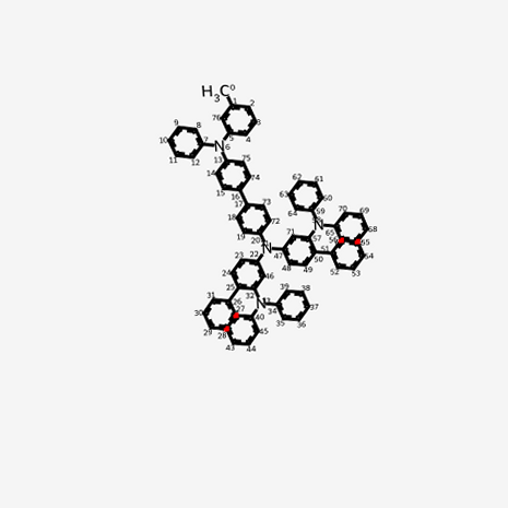 Cc1cccc(N(c2ccccc2)c2ccc(-c3ccc(N(c4ccc(-c5ccccc5)c(N(c5ccccc5)c5ccccc5)c4)c4ccc(-c5ccccc5)c(N(c5ccccc5)c5ccccc5)c4)cc3)cc2)c1